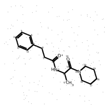 CC(NC(=O)CCc1ccccc1)C(=O)N1CCCCC1